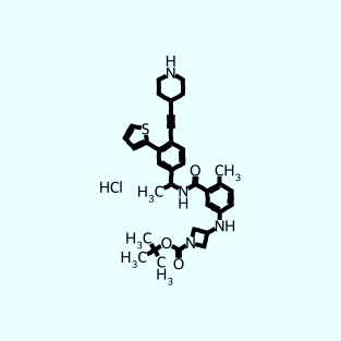 Cc1ccc(NC2CN(C(=O)OC(C)(C)C)C2)cc1C(=O)NC(C)c1ccc(C#CC2CCNCC2)c(-c2cccs2)c1.Cl